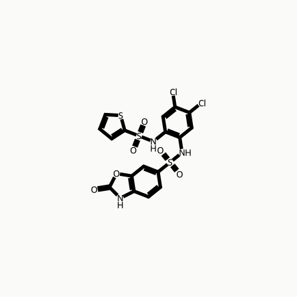 O=c1[nH]c2ccc(S(=O)(=O)Nc3cc(Cl)c(Cl)cc3NS(=O)(=O)c3cccs3)cc2o1